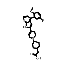 COc1ccc(F)cc1-c1ccnc2[nH]c(C3=CCN(C4CCC(CC(=O)O)CC4)CC3)cc12